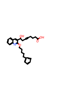 O=C(O)CCCC#CCC(O)c1cc2ccccc2nc1OCCCCCc1ccccc1